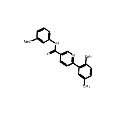 COc1cccc(NC(=O)c2ccc(-c3cc(OC)ccc3OC)nc2)c1